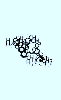 C[C@@H]1C=CC2=C[C@@H](O[Si](C)(C)C(C)(C)C)C[C@H](OC(=O)CC(C)(C)C)[C@@H]2[C@H]1CC[C@@H]1C[C@@H](O[Si](C)(C)C(C)(C)C)CC(=O)O1